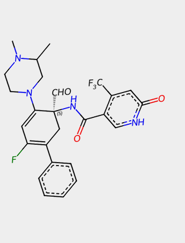 CC1CN(C2=CC(F)=C(c3ccccc3)C[C@]2(C=O)NC(=O)c2c[nH]c(=O)cc2C(F)(F)F)CCN1C